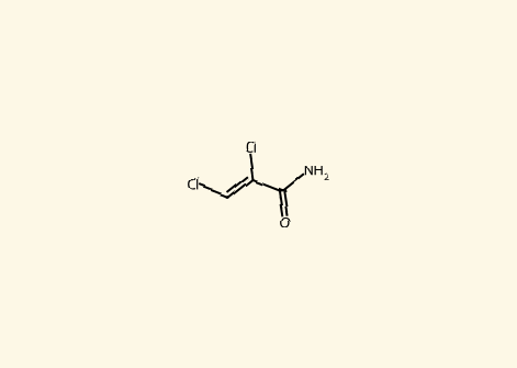 NC(=O)C(Cl)=CCl